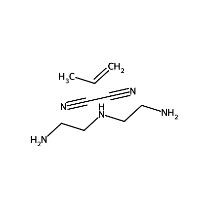 C=CC.N#CC#N.NCCNCCN